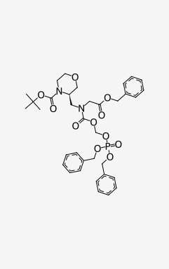 CC(C)(C)OC(=O)N1CCOC[C@H]1CN(CC(=O)OCc1ccccc1)C(=O)OCOP(=O)(OCc1ccccc1)OCc1ccccc1